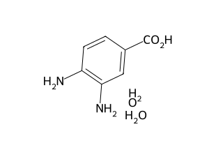 Nc1ccc(C(=O)O)cc1N.O.O